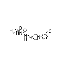 NC(=O)NC(=O)NCCN1CCN(c2cccc(CCl)c2)CC1